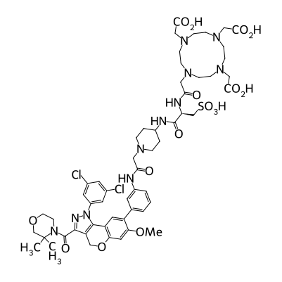 COc1cc2c(cc1-c1cccc(NC(=O)CN3CCC(NC(=O)[C@H](CS(=O)(=O)O)NC(=O)CN4CCN(CC(=O)O)CCN(CC(=O)O)CCN(CC(=O)O)CC4)CC3)c1)-c1c(c(C(=O)N3CCOCC3(C)C)nn1-c1cc(Cl)cc(Cl)c1)CO2